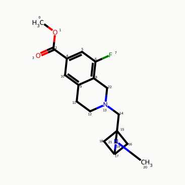 COC(=O)c1cc(F)c2c(c1)CCN(CC13CC(C1)N(C)C3)C2